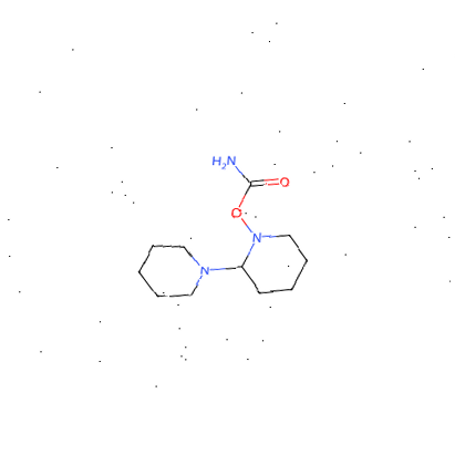 NC(=O)ON1CCCCC1N1CCCCC1